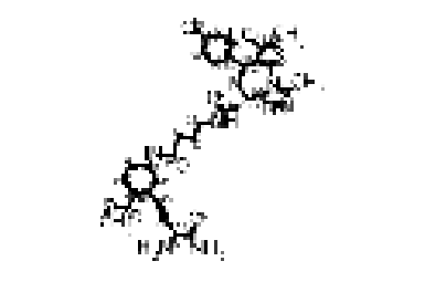 COC(=O)c1ccc(NC(=O)CCCNC(=O)C[C@@H]2N=C(c3ccc(Cl)cc3)c3c(sc(C)c3C)-n3c(C)nnc32)cc1C#CC(N)C(N)=O